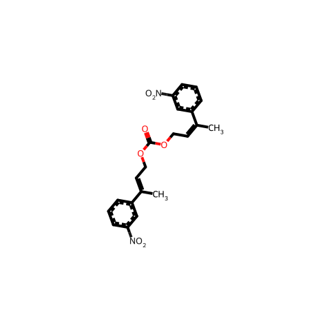 CC(=CCOC(=O)OCC=C(C)c1cccc([N+](=O)[O-])c1)c1cccc([N+](=O)[O-])c1